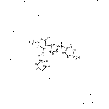 Cc1cc(F)c(-c2cc(Nc3cnc(C#N)cn3)n[nH]2)c(OC[C@H]2CCCNC2)c1